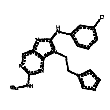 CC(C)(C)Nc1ncc2nc(Nc3cccc(Cl)c3)n(CCn3ccnc3)c2n1